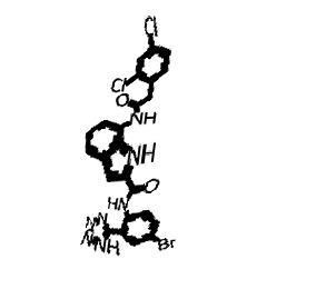 O=C(Cc1ccc(Cl)cc1Cl)Nc1cccc2cc(C(=O)Nc3ccc(Br)cc3-c3nnn[nH]3)[nH]c12